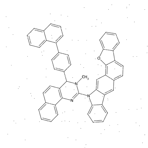 CN1C(n2c3ccccc3c3cc4ccc5c6ccccc6oc5c4cc32)=Nc2c(ccc3ccccc23)C1c1ccc(-c2cccc3ccccc23)cc1